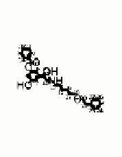 O=C(Oc1cc(O)cc(C(O)CNCCCCCCOCCc2ccccc2)c1)c1ccccc1